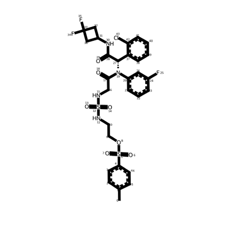 Cc1ccc(S(=O)(=O)OCCNS(=O)(=O)NCC(=O)N(c2cccc(F)c2)[C@H](C(=O)NC2CC(F)(F)C2)c2ccccc2Cl)cc1